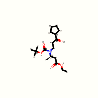 CCOC(=O)C[C@@H](C)N(CCC(=O)C1CCCC1)C(=O)OC(C)(C)C